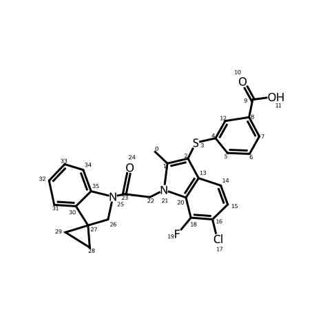 Cc1c(Sc2cccc(C(=O)O)c2)c2ccc(Cl)c(F)c2n1CC(=O)N1CC2(CC2)c2ccccc21